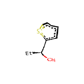 CC[C@H](O)c1cccs1